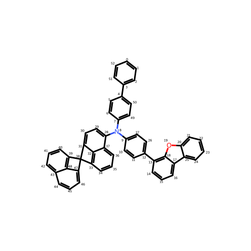 c1ccc(-c2ccc(N(c3ccc(-c4cccc5c4oc4ccccc45)cc3)c3ccc4c5c(cccc35)C43c4cccc5cccc3c45)cc2)cc1